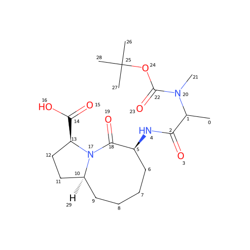 CC(C(=O)N[C@H]1CCCC[C@H]2CC[C@@H](C(=O)O)N2C1=O)N(C)C(=O)OC(C)(C)C